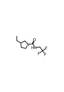 CCC1CCN(C(=O)NCC(F)(F)F)C1